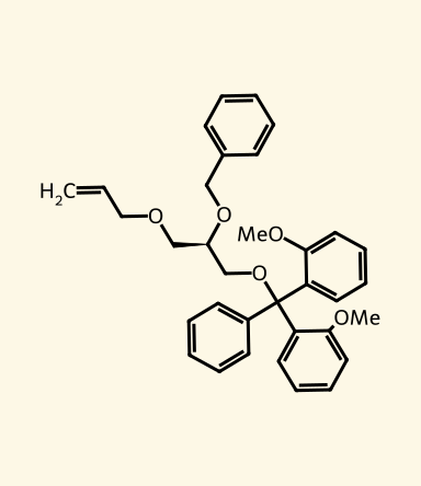 C=CCOC[C@H](COC(c1ccccc1)(c1ccccc1OC)c1ccccc1OC)OCc1ccccc1